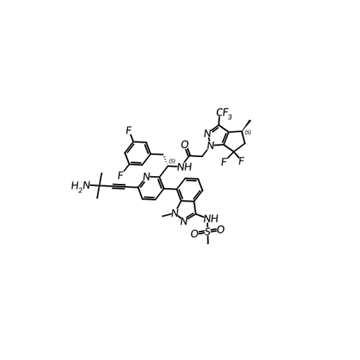 C[C@H]1CC(F)(F)c2c1c(C(F)(F)F)nn2CC(=O)N[C@@H](Cc1cc(F)cc(F)c1)c1nc(C#CC(C)(C)N)ccc1-c1cccc2c(NS(C)(=O)=O)nn(C)c12